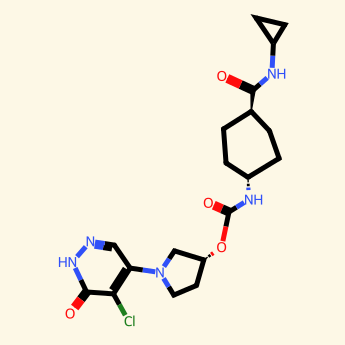 O=C(N[C@H]1CC[C@H](C(=O)NC2CC2)CC1)O[C@@H]1CCN(c2cn[nH]c(=O)c2Cl)C1